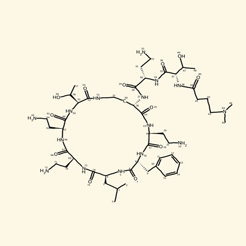 CC(C)C[C@@H]1NC(=O)[C@@H](Cc2ccccc2)NC(=O)[C@H](CCN)NC(=O)[C@@H](NC(=O)[C@H](CCN)NC(=O)[C@@H](NC(=O)CCCN(C)C)C(C)O)CCNC(=O)[C@H](C(C)O)NC(=O)[C@H](CCN)NC(=O)[C@H](CCN)NC1=O